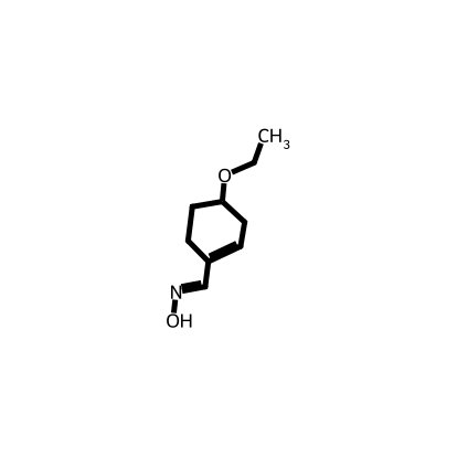 CCOC1CC=C(C=NO)CC1